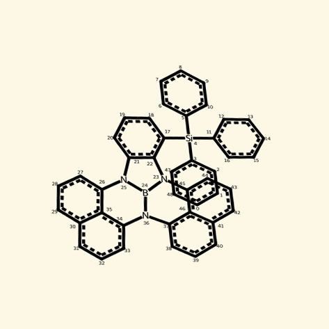 c1ccc([Si](c2ccccc2)(c2ccccc2)c2cccc3c2N2B4N3c3cccc5cccc(c35)N4c3cccc4cccc2c34)cc1